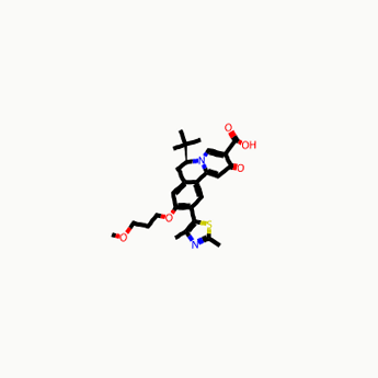 COCCCOc1cc2c(cc1-c1sc(C)nc1C)-c1cc(=O)c(C(=O)O)cn1[C@H](C(C)(C)C)C2